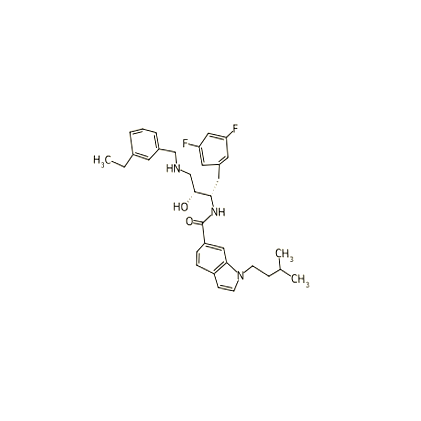 CCc1cccc(CNC[C@@H](O)[C@H](Cc2cc(F)cc(F)c2)NC(=O)c2ccc3ccn(CCC(C)C)c3c2)c1